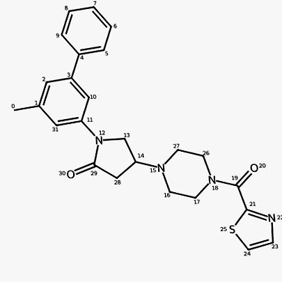 Cc1cc(-c2ccccc2)cc(N2CC(N3CCN(C(=O)c4nccs4)CC3)CC2=O)c1